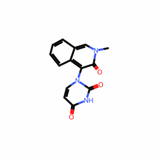 Cn1cc2ccccc2c(-n2ccc(=O)[nH]c2=O)c1=O